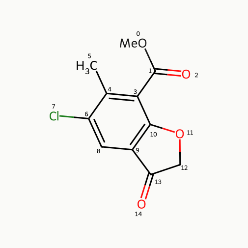 COC(=O)c1c(C)c(Cl)cc2c1OCC2=O